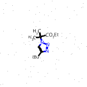 CCOC(=O)C(C)(C)n1cc(C(C)(C)C)nn1